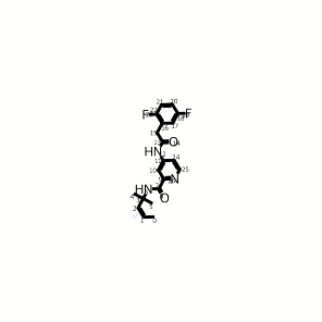 C/C=C\C(C)(C)NC(=O)c1cc(NC(=O)Cc2cc(F)ccc2F)ccn1